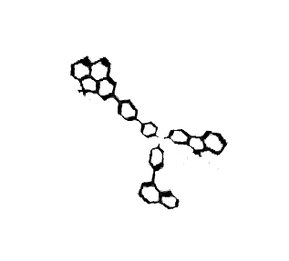 CC1(C)c2ccccc2-c2ccc(N(c3ccc(-c4ccc(-c5cc6c7c(ccc8cccc(c87)C6(C)C)c5)cc4)cc3)c3ccc(-c4cccc5ccccc45)cc3)cc21